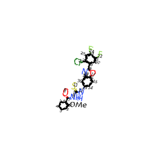 COc1ccccc1C(=O)NC(=S)Nc1ccc2oc(-c3cc(F)c(F)cc3Cl)nc2c1